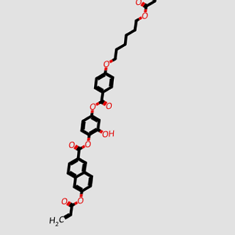 C=CC(=O)OCCCCCCOc1ccc(C(=O)Oc2ccc(OC(=O)c3ccc4cc(OC(=O)C=C)ccc4c3)c(O)c2)cc1